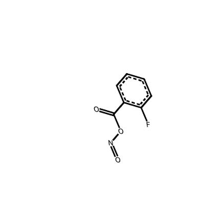 O=NOC(=O)c1ccccc1F